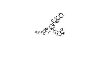 COC(=O)CNC[C@@H](COC(=O)Nc1cc2ccccc2cn1)N(C)C(=O)NCc1cccc(F)c1Cl